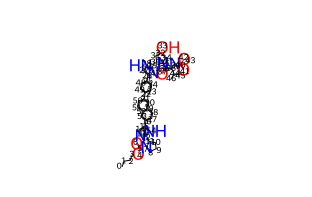 CCCCOC(=O)N1CCCC1c1ncc(-c2ccc3cc(-c4ccc(-c5c[nH]c([C@@H]6C[C@H](O)CN6C(=O)[C@@H](NC(=O)OC)C(C)C)n5)cc4)ccc3c2)[nH]1